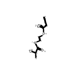 C=CC(=O)OCCOC(=O)C(C)Cl